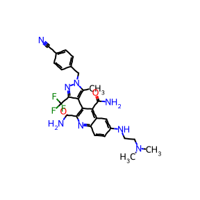 Cc1c(-c2c(C(N)=O)nc3ccc(NCCN(C)C)cc3c2C(N)=O)c(C(F)(F)F)nn1Cc1ccc(C#N)cc1